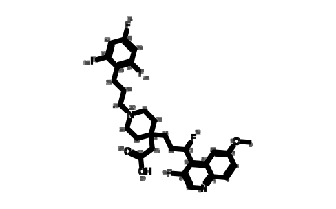 COc1ccc2ncc(F)c(C(F)CCC3(CC(=O)O)CCN(CCCc4c(F)cc(F)cc4F)CC3)c2c1